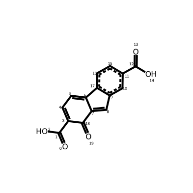 O=C(O)C1=CC=C2C(=Cc3cc(C(=O)O)ccc32)C1=O